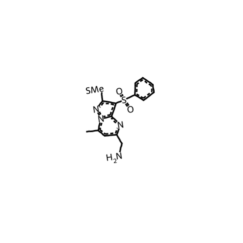 CSc1nn2c(C)cc(CN)nc2c1S(=O)(=O)c1ccccc1